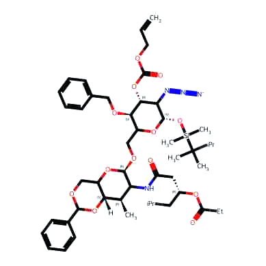 C=CCOC(=O)O[C@@H]1C(N=[N+]=[N-])[C@H](O[Si](C)(C)C(C)(C)C(C)C)OC(CO[C@@H]2OC3COC(c4ccccc4)O[C@H]3[C@H](C)C2NC(=O)C[C@@H](CC(C)C)OC(=O)CC)[C@H]1OCc1ccccc1